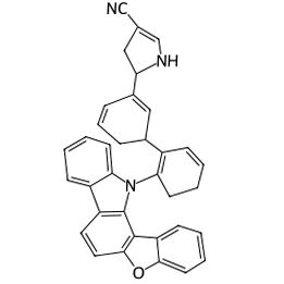 N#CC1=CNC(C2=CC(C3=C(n4c5ccccc5c5ccc6oc7ccccc7c6c54)CCC=C3)CC=C2)C1